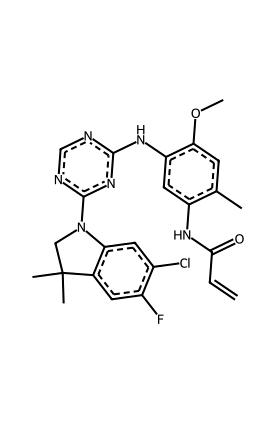 C=CC(=O)Nc1cc(Nc2ncnc(N3CC(C)(C)c4cc(F)c(Cl)cc43)n2)c(OC)cc1C